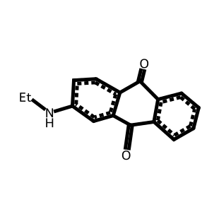 CCNc1ccc2c(c1)C(=O)c1ccccc1C2=O